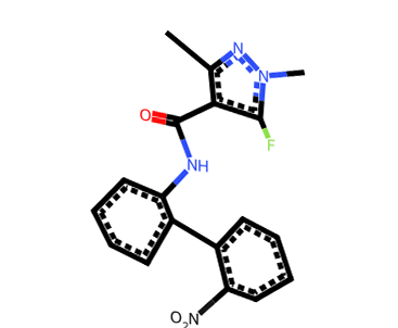 Cc1nn(C)c(F)c1C(=O)Nc1ccccc1-c1ccccc1[N+](=O)[O-]